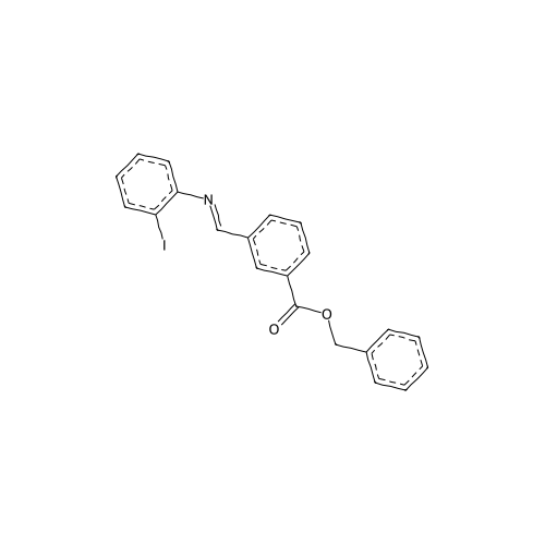 O=C(OCc1ccccc1)c1cccc(C=Nc2ccccc2I)c1